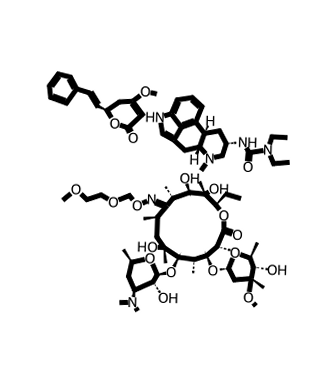 CCN(CC)C(=O)N[C@H]1C[C@@H]2c3cccc4[nH]cc(c34)C[C@H]2N(C)C1.CC[C@H]1OC(=O)[C@H](C)[C@@H](O[C@H]2C[C@@](C)(OC)[C@@H](O)[C@H](C)O2)[C@H](C)[C@@H](O[C@@H]2O[C@H](C)C[C@H](N(C)C)[C@H]2O)[C@](C)(O)C[C@@H](C)/C(=N\OCOCCOC)[C@H](C)[C@@H](O)[C@]1(C)O.COC1=CC(=O)O[C@@H](/C=C/c2ccccc2)C1